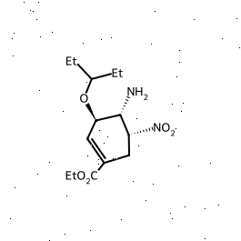 CCOC(=O)C1=C[C@@H](OC(CC)CC)[C@H](N)[C@H]([N+](=O)[O-])C1